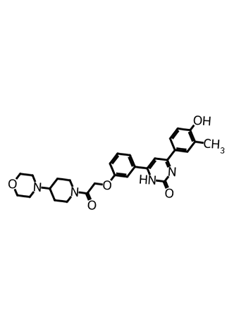 Cc1cc(-c2cc(-c3cccc(OCC(=O)N4CCC(N5CCOCC5)CC4)c3)[nH]c(=O)n2)ccc1O